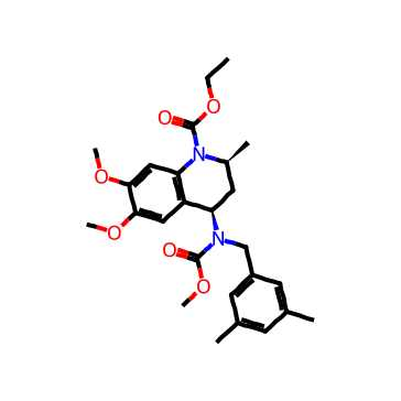 CCOC(=O)N1c2cc(OC)c(OC)cc2[C@H](N(Cc2cc(C)cc(C)c2)C(=O)OC)C[C@@H]1C